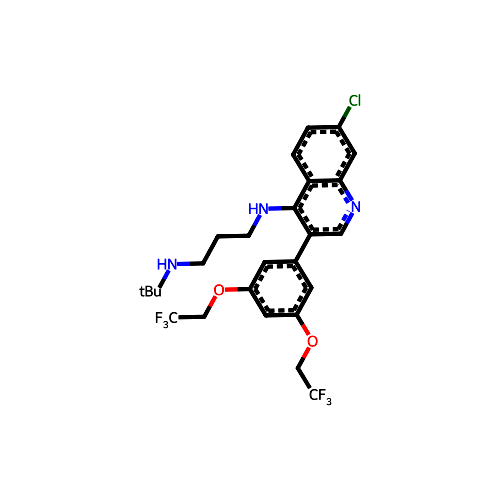 CC(C)(C)NCCCNc1c(-c2cc(OCC(F)(F)F)cc(OCC(F)(F)F)c2)cnc2cc(Cl)ccc12